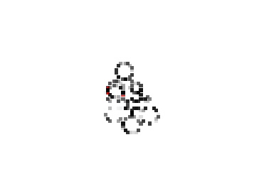 O=C1c2ccc(C3CCCCCCCC3)c(C3CCCCCCCC3)c2-c2c1c(C1CCCCCCCC1)c(C1CCCCCCCC1)c(C1CCCCCCCC1)c2C1CCCCCCCC1